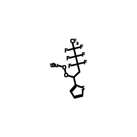 CC(C)(C)OOC(CC(F)(F)C(F)(F)C(F)(F)C(F)(F)F)c1cccs1